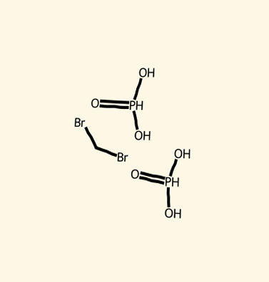 BrCBr.O=[PH](O)O.O=[PH](O)O